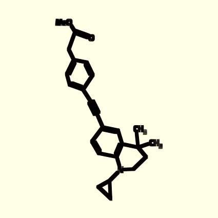 COC(=O)Cc1ccc(C#Cc2ccc3c(c2)C(C)(C)CCN3C2CC2)cc1